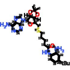 CC1(C)O[C@@H]2[C@H](O1)[C@@H](CSCCCCC(=O)Nc1ccc(C(C)(C)C)cc1N)O[C@H]2n1cnc2c(N)ncnc21